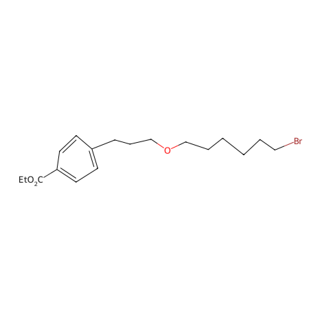 CCOC(=O)c1ccc(CCCOCCCCCCBr)cc1